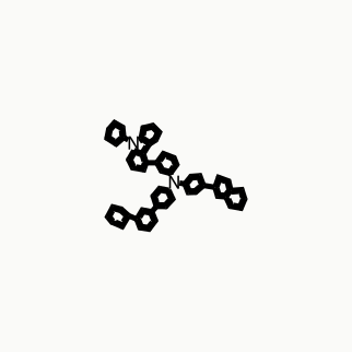 c1ccc(-c2cccc(-c3ccc(N(c4ccc(-c5ccc6ccccc6c5)cc4)c4cccc(-c5cccc6c5c5ccccc5n6-c5ccccc5)c4)cc3)c2)cc1